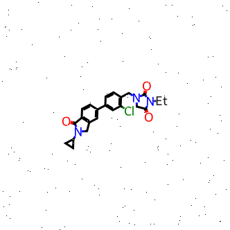 CCN1C(=O)CN(Cc2ccc(-c3ccc4c(c3)CN(C3CC3)C4=O)cc2Cl)C1=O